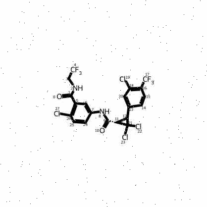 O=C(NCC(F)(F)F)c1cc(NC(=O)[C@@H]2C(c3ccc(C(F)(F)F)c(Cl)c3)C2(Cl)Cl)ccc1Cl